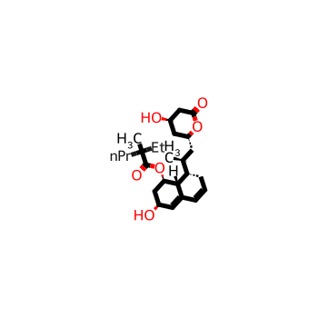 CCCC(C)(CC)C(=O)O[C@H]1C[C@H](O)C=C2C=CC[C@@H]([C@@H](C)C[C@@H]3C[C@@H](O)CC(=O)O3)[C@H]21